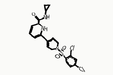 O=C(NC1CC1)C1C=CC=C(C2=CCN(S(=O)(=O)c3ccc(Cl)cc3Cl)CC2)N1